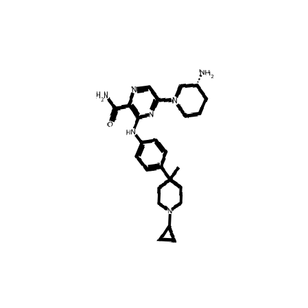 CC1(c2ccc(Nc3nc(N4CCC[C@@H](N)C4)cnc3C(N)=O)cc2)CCN(C2CC2)CC1